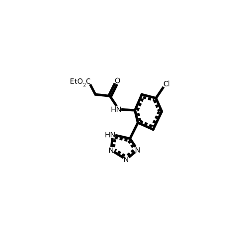 CCOC(=O)CC(=O)Nc1cc(Cl)ccc1-c1nnn[nH]1